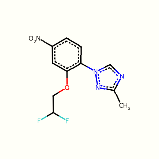 Cc1ncn(-c2ccc([N+](=O)[O-])cc2OCC(F)F)n1